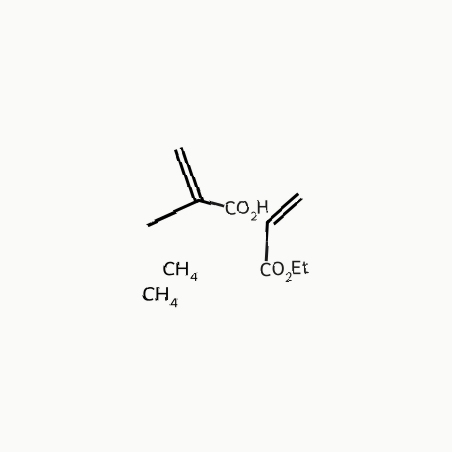 C.C.C=C(C)C(=O)O.C=CC(=O)OCC